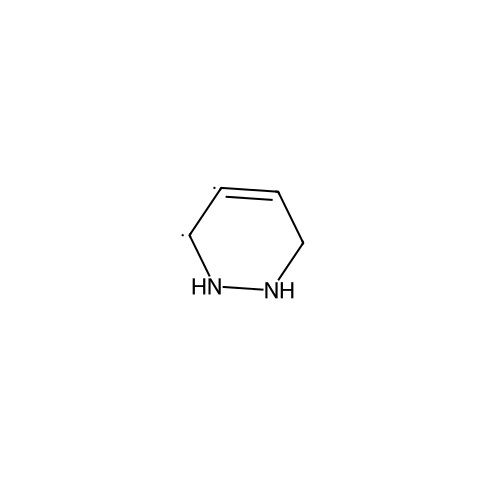 [C]1=CCNN[CH]1